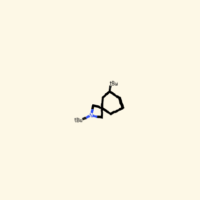 CC(C)(C)C1CCCC2(C1)CN(C(C)(C)C)C2